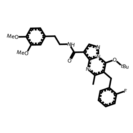 COc1ccc(CCNC(=O)c2cnn3c(OC(C)(C)C)c(Cc4ccccc4F)c(C)nc23)cc1OC